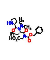 CC(C)C[C@@H](C(=O)N(CC(=O)O)C(=O)OCc1ccccc1)N(C(=O)[C@@H]1CCCN1)N(C)C